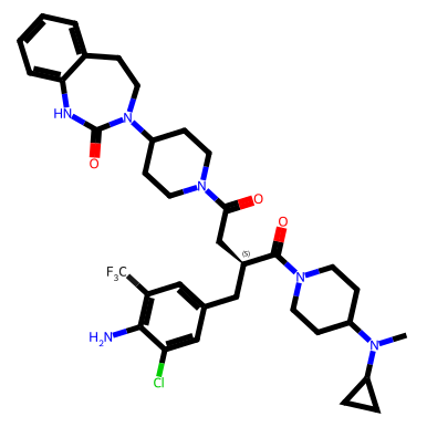 CN(C1CC1)C1CCN(C(=O)[C@H](CC(=O)N2CCC(N3CCc4ccccc4NC3=O)CC2)Cc2cc(Cl)c(N)c(C(F)(F)F)c2)CC1